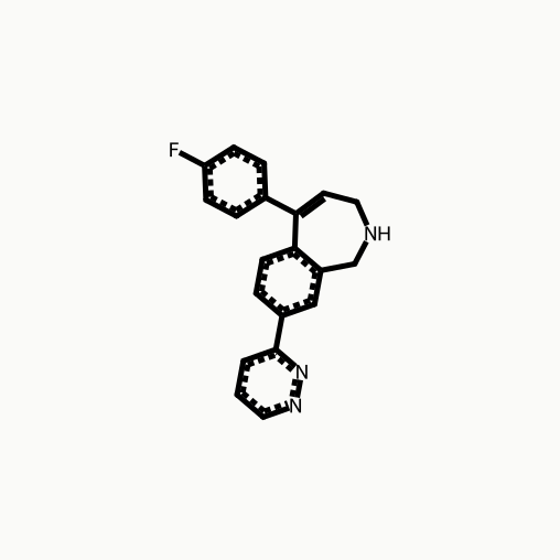 Fc1ccc(C2=CCNCc3cc(-c4cccnn4)ccc32)cc1